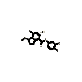 Cl.O=C(Nc1ccc(F)c(Cl)c1)c1ccc(F)c2c1CCC2NI